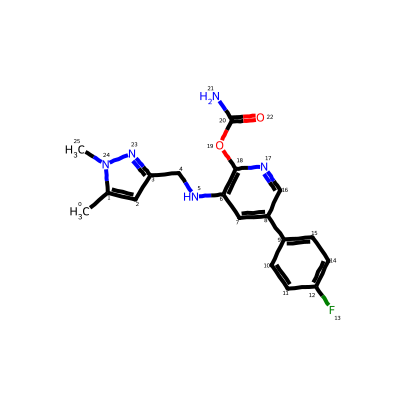 Cc1cc(CNc2cc(-c3ccc(F)cc3)cnc2OC(N)=O)nn1C